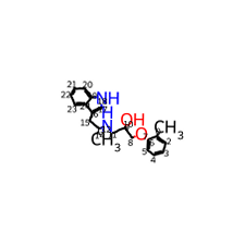 Cc1ccccc1OC[C@H](O)CN[C@H](C)Cc1c[nH]c2ccccc12